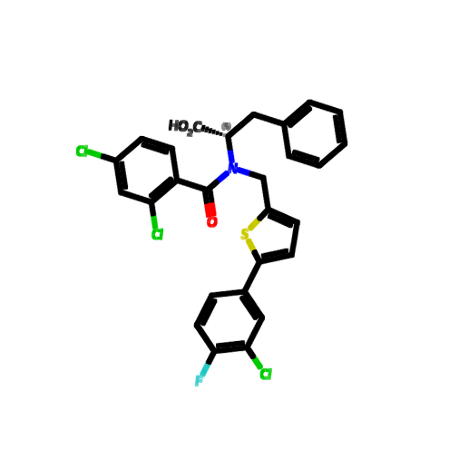 O=C(O)[C@H](Cc1ccccc1)N(Cc1ccc(-c2ccc(F)c(Cl)c2)s1)C(=O)c1ccc(Cl)cc1Cl